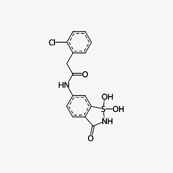 O=C(Cc1ccccc1Cl)Nc1ccc2c(c1)S(O)(O)NC2=O